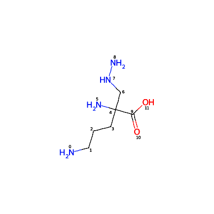 NCCCC(N)(CNN)C(=O)O